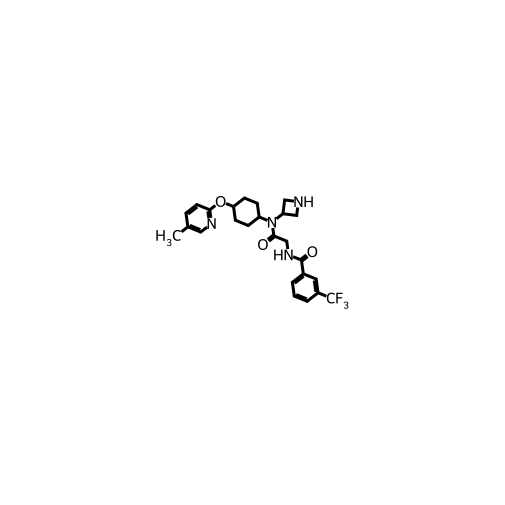 Cc1ccc(OC2CCC(N(C(=O)CNC(=O)c3cccc(C(F)(F)F)c3)C3CNC3)CC2)nc1